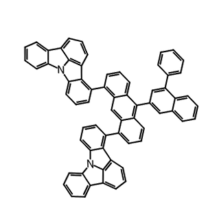 c1ccc(-c2cc(-c3c4cccc(-c5cccc6c5c5cccc7c8ccccc8n6c75)c4cc4c(-c5cccc6c5c5cccc7c8ccccc8n6c75)cccc34)cc3ccccc23)cc1